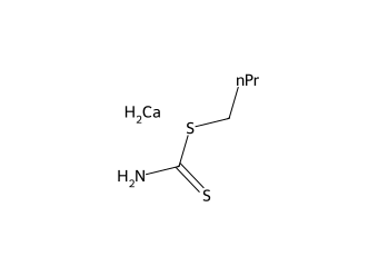 CCCCSC(N)=S.[CaH2]